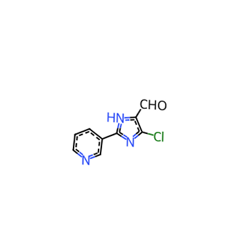 O=Cc1[nH]c(-c2cccnc2)nc1Cl